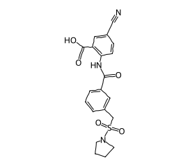 N#Cc1ccc(NC(=O)c2cccc(CS(=O)(=O)N3CCCC3)c2)c(C(=O)O)c1